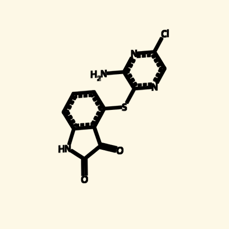 Nc1nc(Cl)cnc1Sc1cccc2c1C(=O)C(=O)N2